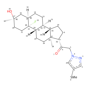 CSc1cnn(CC(=O)[C@H]2CC[C@H]3[C@@H]4CC[C@@H]5C[C@](C)(O)CC[C@]5(F)[C@H]4CC[C@]23C)c1